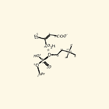 CC/C(=C/C(=O)[O-])C(=O)O.CCCOP(=O)(O)OCC[N+](C)(C)C